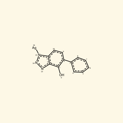 Oc1c(-c2ccccc2)ccc2c1nn[n]2[Ag]